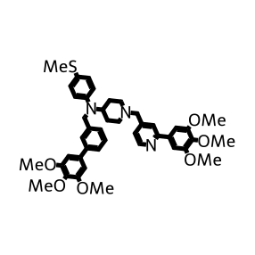 COc1cc(-c2cccc(CN(c3ccc(SC)cc3)C3CCN(Cc4ccnc(-c5cc(OC)c(OC)c(OC)c5)c4)CC3)c2)cc(OC)c1OC